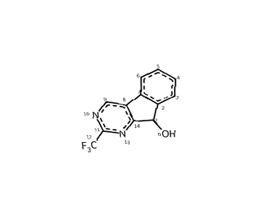 OC1c2ccccc2-c2cnc(C(F)(F)F)nc21